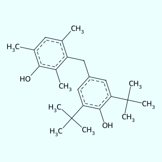 Cc1cc(C)c(Cc2cc(C(C)(C)C)c(O)c(C(C)(C)C)c2)c(C)c1O